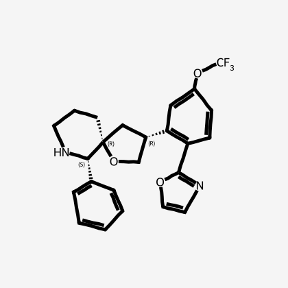 FC(F)(F)Oc1ccc(-c2ncco2)c([C@@H]2CO[C@]3(CCCN[C@H]3c3ccccc3)C2)c1